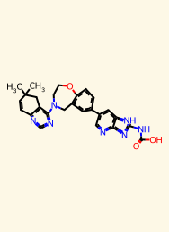 CC1(C)C=Cc2ncnc(N3CCOc4ccc(-c5cnc6nc(NC(=O)O)[nH]c6c5)cc4C3)c2C1